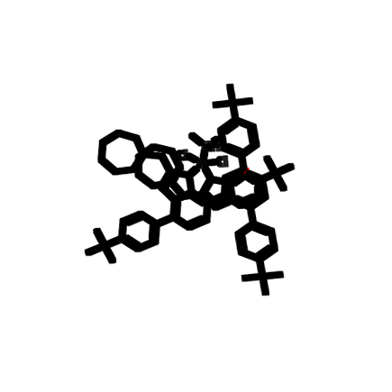 C[SiH](C)[Zr]([Cl])([Cl])([CH]1C(CC2CCCCCC2)=Cc2c(-c3ccc(C(C)(C)C)cc3)ccc(-c3ccc(C(C)(C)C)cc3)c21)[CH]1C(CC2CCCCCC2)=Cc2c(-c3ccc(C(C)(C)C)cc3)ccc(-c3ccc(C(C)(C)C)cc3)c21